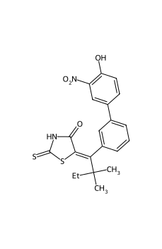 CCC(C)(C)C(=C1SC(=S)NC1=O)c1cccc(-c2ccc(O)c([N+](=O)[O-])c2)c1